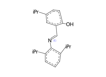 CC(C)c1ccc(O)c(/C=N/c2c(C(C)C)cccc2C(C)C)c1